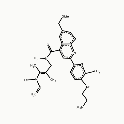 C=NN(CC)/C(C)=C(\C)CN(C)C(=O)c1cc(-c2ccc(NCCNC)c(C)n2)nc2ccc(COC)cc12